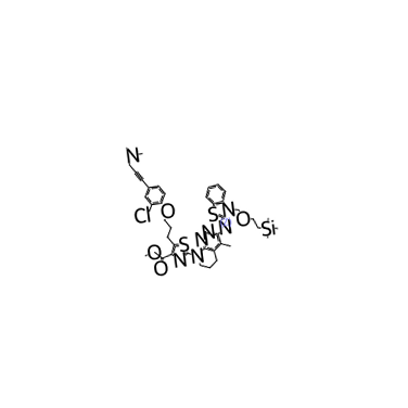 COC(=O)c1nc(N2CCCc3c2nnc(/N=c2\sc4ccccc4n2COCC[Si](C)(C)C)c3C)sc1CCCOc1ccc(C#CCN(C)C)cc1Cl